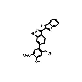 COc1cc(-c2ccc3c(-c4nc5ccccc5[nH]4)n[nH]c3c2)c(CO)cc1O